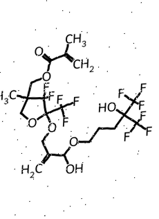 C=C(C)C(=O)OCC1(C)COC(OCC(=C)C(O)OCCCC(O)(C(F)(F)F)C(F)(F)F)(C(F)(F)F)C1(F)F